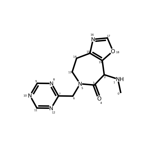 CNC1C(=O)N(Cc2ncncn2)CCc2ncoc21